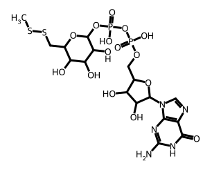 CSSCC1OC(OP(=O)(O)OP(=O)(O)OCC2OC(n3cnc4c(=O)[nH]c(N)nc43)C(O)C2O)C(O)C(O)C1O